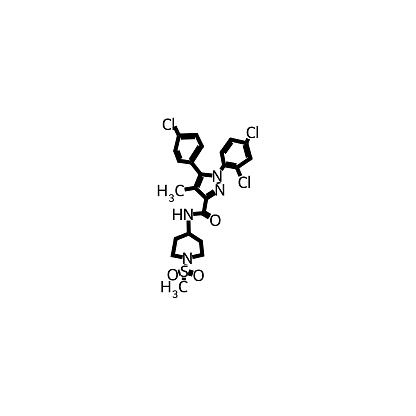 Cc1c(C(=O)NC2CCN(S(C)(=O)=O)CC2)nn(-c2ccc(Cl)cc2Cl)c1-c1ccc(Cl)cc1